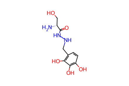 N[C@H](CO)C(=O)NNCc1ccc(O)c(O)c1O